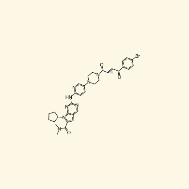 CN(C)C(=O)c1cc2cnc(Nc3ccc(N4CCN(C(=O)/C=C/C(=O)c5ccc(Br)cc5)CC4)cn3)nc2n1C1CCCC1